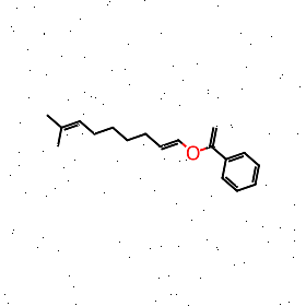 C=C(O/C=C/CCCCC=C(C)C)c1ccccc1